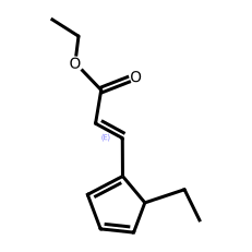 CCOC(=O)/C=C/C1=CC=CC1CC